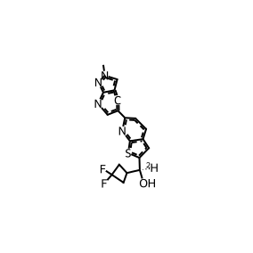 [2H][C@@](O)(c1cc2ccc(-c3cnc4nn(C)cc4c3)nc2s1)C1CC(F)(F)C1